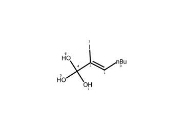 CCCCC=C(I)C(O)(O)O